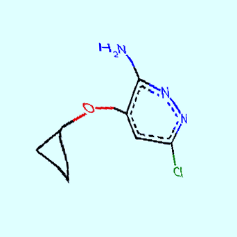 Nc1nnc(Cl)cc1OC1CC1